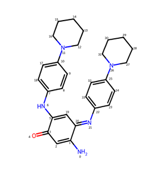 NC1=CC(=O)C(Nc2ccc(N3CCCCC3)cc2)=CC1=Nc1ccc(N2CCCCC2)cc1